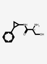 N[C@@H](CO)C(=O)NC1CC1c1ccccc1